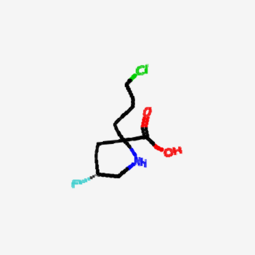 O=C(O)C1(CCCCl)C[C@@H](F)CN1